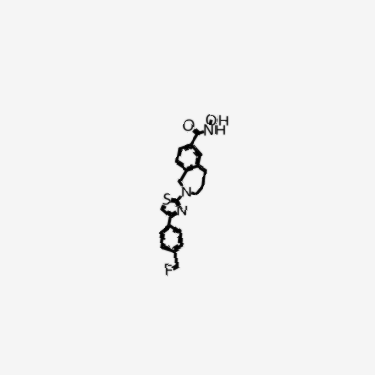 O=C(NO)c1ccc2c(c1)CCCN(c1nc(-c3ccc(CF)cc3)cs1)C2